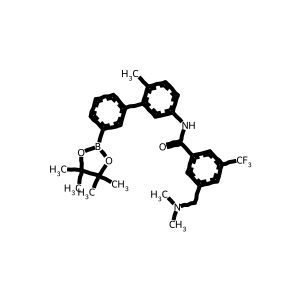 Cc1ccc(NC(=O)c2cc(CN(C)C)cc(C(F)(F)F)c2)cc1-c1cccc(B2OC(C)(C)C(C)(C)O2)c1